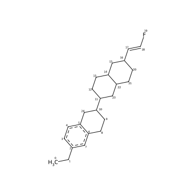 CCc1ccc2c(c1)CCC(C1CCC3CC(C=CF)CCC3C1)C2